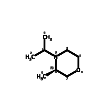 CC(C)N1CCOC[C@H]1C